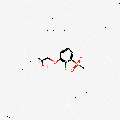 [CH2][C@H](O)COc1cccc(S(C)(=O)=O)c1F